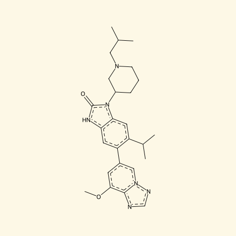 COc1cc(-c2cc3[nH]c(=O)n(C4CCCN(CC(C)C)C4)c3cc2C(C)C)cn2ncnc12